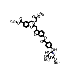 CCCCOC(=O)CN(Cc1cccc(C(=O)OCCCC)c1)C(=O)CC1COc2cc(OC(=O)c3ccc(N/C(=N/C(=O)OC(C)(C)C)NC(=O)OC(C)(C)C)cc3)ccc21